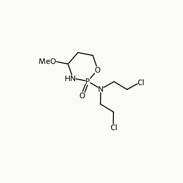 COC1CCOP(=O)(N(CCCl)CCCl)N1